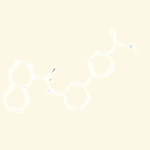 C[C@@H](NC1CCCC(c2ccc(C(N)=O)cc2)C1)c1cccc2ccccc12